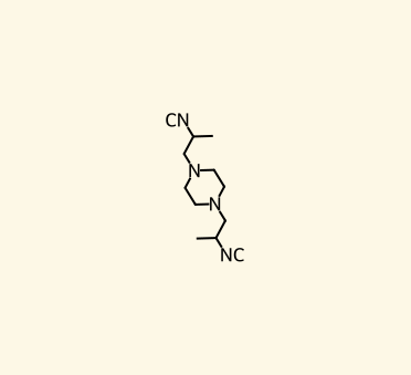 [C-]#[N+]C(C)CN1CCN(CC(C)[N+]#[C-])CC1